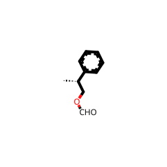 [CH2][C@@H](COC=O)c1ccccc1